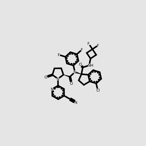 N#Cc1ccnc(N2C(=O)CC[C@H]2C(=O)N(c2cc(F)cc(F)c2)[C@]2(C(=O)NC3CC(F)(F)C3)CCc3c(Cl)cccc32)c1